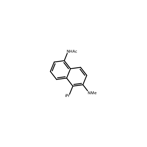 CNc1ccc2c(NC(C)=O)cccc2c1C(C)C